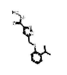 CC(C)c1ccccc1SCc1cc(C(=O)NO)no1